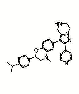 CC(C)c1ccc(C2CN(C)c3cc(-c4c(-c5ccncc5)nn5c4CNCC5)ccc3O2)cc1